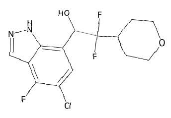 OC(c1cc(Cl)c(F)c2cn[nH]c12)C(F)(F)C1CCOCC1